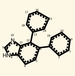 c1ccc(-c2ccc3[nH]cnc3c2-c2ccccc2)cc1